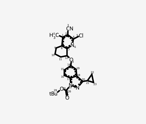 Cc1c(C#N)c(Cl)nc2c1CCCC2Oc1ccc2c(c1)c(C1CC1)nn2C(=O)OC(C)(C)C